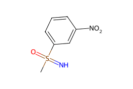 CS(=N)(=O)c1cccc([N+](=O)[O-])c1